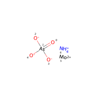 O=[As]([O-])([O-])[O-].[Mo+2].[NH4+]